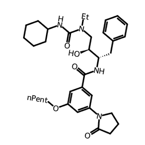 CCCCCOc1cc(C(=O)N[C@@H](Cc2ccccc2)[C@@H](O)CN(CC)C(=O)NC2CCCCC2)cc(N2CCCC2=O)c1